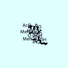 C/C=C/C[C@@H](C)[C@@H](O)C(C(=O)N[C@@H](CC)C(=O)N(C)CC(=O)N(C)[C@@H](CC(C)(C)OC(C)=O)C(=O)N[C@H](C(=O)NC)C(C)C)N(C)C(=O)[C@@H](NC)C(C)C